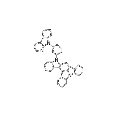 c1cc(-n2c3ccccc3c3c4c5ccccc5n5c6ccccc6c(cc32)c45)cc(-n2c3ccccc3c3cccnc32)c1